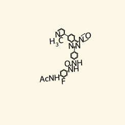 CC(=O)Nc1ccc(NC(=O)Nc2ccc(-c3nc(N4CCOCC4)c4ccc(-c5cccnc5C)cc4n3)cc2)cc1F